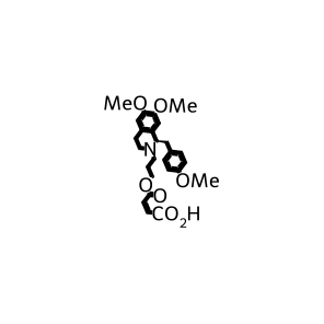 COc1ccc(C[C@@H]2c3cc(OC)c(OC)cc3CCN2CCCOC(=O)/C=C\C(=O)O)cc1